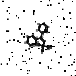 O=P(O)(O)C=C(c1ccccc1)c1ccccc1